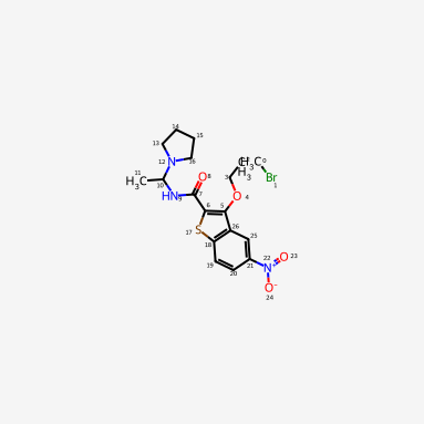 CBr.CCOc1c(C(=O)NC(C)N2CCCC2)sc2ccc([N+](=O)[O-])cc12